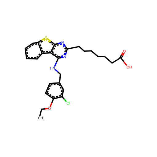 CCOc1ccc(CNc2nc(CCCCCCC(=O)O)nc3sc4ccccc4c23)cc1Cl